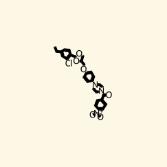 CCc1ccc(C2OCC(COc3ccc(N4CCN(C(=O)c5ccc([N+](=O)[O-])cc5)CC4)cc3)O2)c(Cl)c1